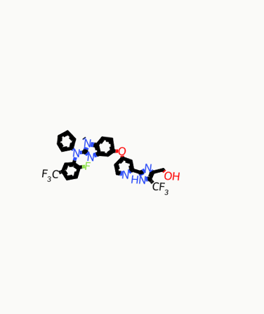 Cn1c(N(c2ccccc2)c2cc(C(F)(F)F)ccc2F)nc2cc(Oc3ccnc(-c4nc(CO)c(C(F)(F)F)[nH]4)c3)ccc21